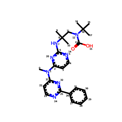 CN(c1ccnc(NC(C)(C)CN(C(=O)O)C(C)(C)C)n1)c1ccnc(-c2ccccc2)n1